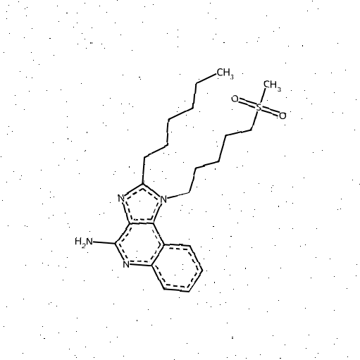 CCCCCCc1nc2c(N)nc3ccccc3c2n1CCCCCS(C)(=O)=O